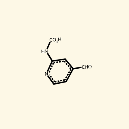 O=Cc1ccnc(NC(=O)O)c1